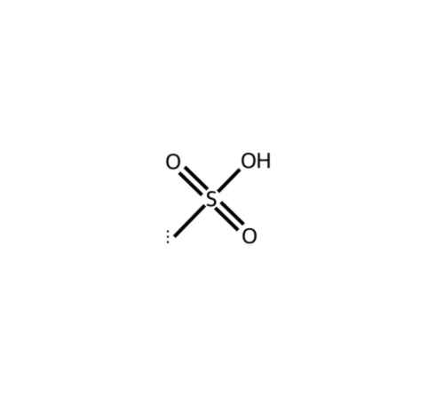 [C]S(=O)(=O)O